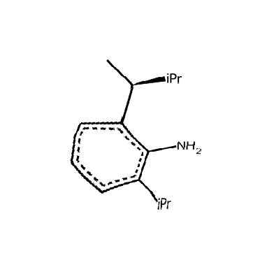 CC(C)c1cccc([C@@H](C)C(C)C)c1N